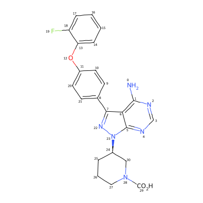 Nc1ncnc2c1c(-c1ccc(Oc3ccccc3F)cc1)nn2[C@@H]1CCCN(C(=O)O)C1